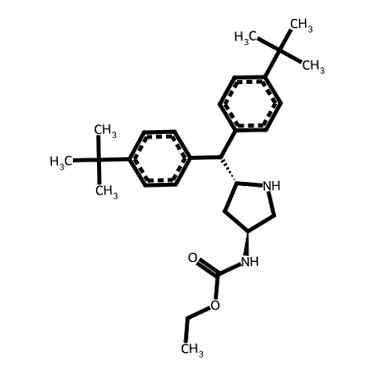 CCOC(=O)N[C@@H]1CN[C@@H](C(c2ccc(C(C)(C)C)cc2)c2ccc(C(C)(C)C)cc2)C1